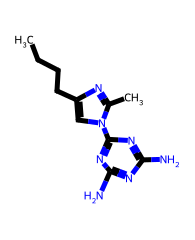 CCCCc1cn(-c2nc(N)nc(N)n2)c(C)n1